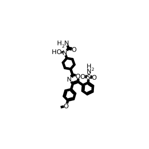 COc1ccc(-c2nc(C3CCC(N(O)C(N)=O)CC3)oc2-c2ccccc2S(N)(=O)=O)cc1